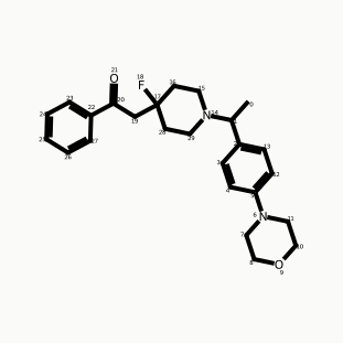 CC(c1ccc(N2CCOCC2)cc1)N1CCC(F)(CC(=O)c2ccccc2)CC1